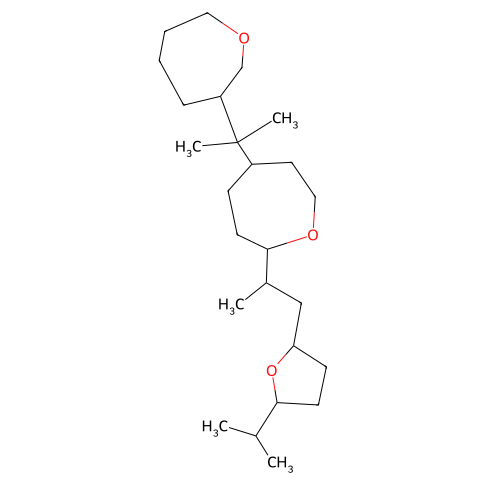 CC(C)C1CCC(CC(C)C2CCC(C(C)(C)C3CCCCOC3)CCO2)O1